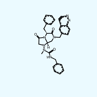 CN(C(=O)NCc1ccccc1)N1CC(=O)N2[C@@H](Cc3ccccc3)C(=O)N(Cc3ccc4nnc#cc4c3)C[C@@H]21